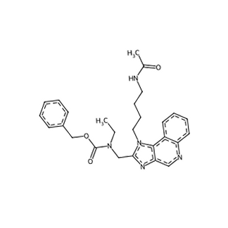 CCN(Cc1nc2cnc3ccccc3c2n1CCCCNC(C)=O)C(=O)OCc1ccccc1